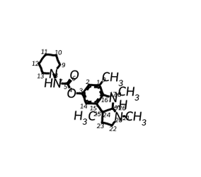 Cc1cc(OC(=O)NN2CCCCC2)cc2c1N(C)[C@H]1N(C)CC[C@@]21C